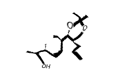 C=CC[C@@H]1OC(C)(C)O[C@H]1[C@H](C)/C=C\[C@@H](C)[C@H](C)O